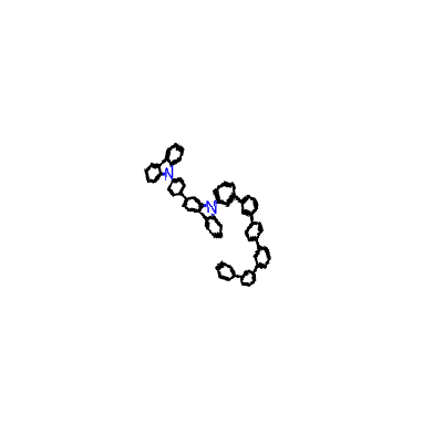 c1ccc(-c2cccc(-c3cccc(-c4ccc(-c5cccc(-c6cccc(-n7c8ccccc8c8ccc(-c9ccc(-n%10c%11ccccc%11c%11ccccc%11%10)cc9)cc87)c6)c5)cc4)c3)c2)cc1